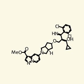 COC(=O)c1cnn2ccc(N3CC4C[C@H](OC/C(C(=N)c5c(Cl)cccc5Cl)=C(/O)C5CC5)C[C@H]4C3)cc12